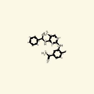 CCC(Nc1nc(Nc2cc(C(N)=O)ccc2C)ncc1C(F)(F)F)c1ccccc1